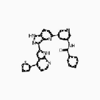 O=C(Nc1cncc(-c2ccc3[nH]nc(-c4cc5c(-c6cccs6)ccnc5[nH]4)c3n2)c1)c1ccccc1